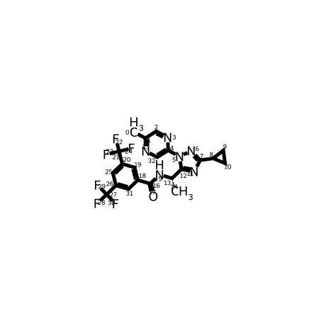 Cc1cnc(-n2nc(C3CC3)nc2[C@H](C)NC(=O)c2cc(C(F)(F)F)cc(C(F)(F)F)c2)cn1